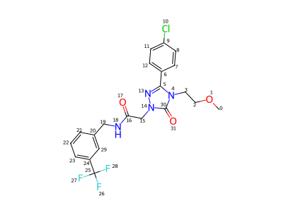 COCCn1c(-c2ccc(Cl)cc2)nn(CC(=O)NCc2cccc(C(F)(F)F)c2)c1=O